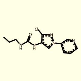 CCCNC(=O)Nc1cn(-c2cccnc2)nc1Cl